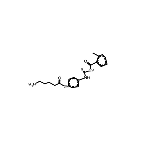 Cc1ccccc1C(=O)NC(=S)Nc1ccc(NC(=O)CCCCN)cc1